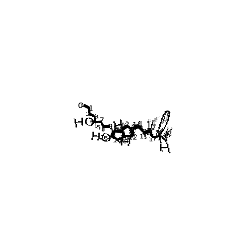 CCCC[C@](C)(O)C/C=C/[C@@H]1[C@H]2CC(CCCCC(=O)NC)=C[C@H]2C[C@H]1O